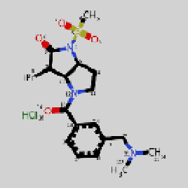 CC(C)C1C(=O)N(S(C)(=O)=O)C2CCN(C(=O)c3cccc(CN(C)C)c3)C12.Cl